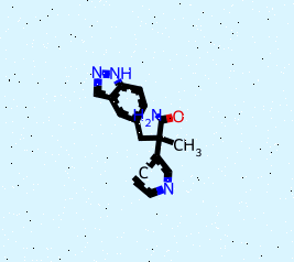 CC(Cc1ccc2[nH]ncc2c1)(C(N)=O)c1cccnc1